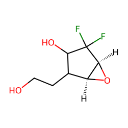 OCCC1C(O)C(F)(F)[C@H]2O[C@@H]12